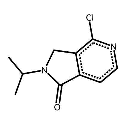 CC(C)N1Cc2c(ccnc2Cl)C1=O